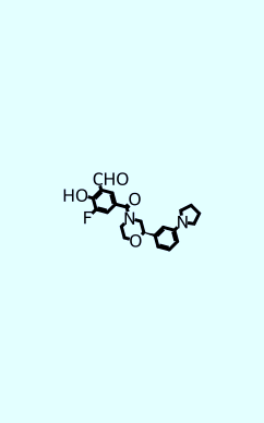 O=Cc1cc(C(=O)N2CCO[C@H](c3cccc(N4CCCC4)c3)C2)cc(F)c1O